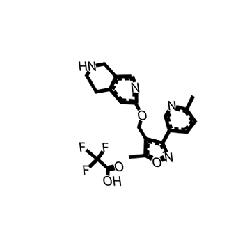 Cc1ccc(-c2noc(C)c2COc2cc3c(cn2)CNCC3)cn1.O=C(O)C(F)(F)F